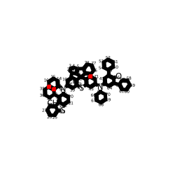 CC1CC=CC2=C1C1(c3ccc(N(c4ccccc4)c4ccc5sc6ccccc6c5c4C4C=CC=CC4C)cc3Sc3cc(N(c4cc(-c5ccccc5)c5oc6ccccc6c5c4)C4C=CC=CC4)ccc31)c1ccccc12